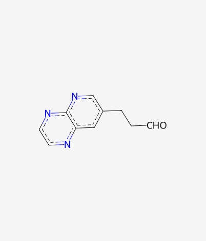 O=CCCc1cnc2nccnc2c1